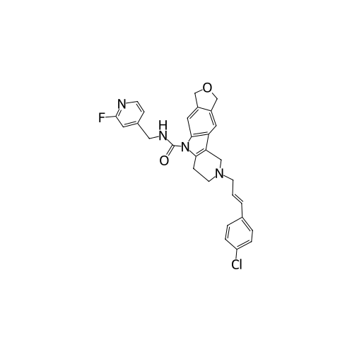 O=C(NCc1ccnc(F)c1)n1c2c(c3cc4c(cc31)COC4)CN(C/C=C/c1ccc(Cl)cc1)CC2